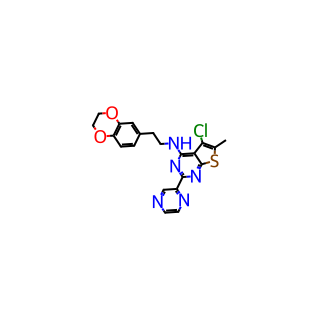 Cc1sc2nc(-c3cnccn3)nc(NCCc3ccc4c(c3)OCCO4)c2c1Cl